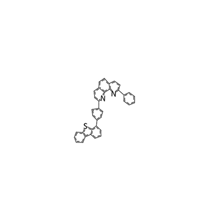 c1ccc(-c2ccc3ccc4ccc(-c5ccc(-c6cccc7c6sc6ccccc67)cc5)nc4c3n2)cc1